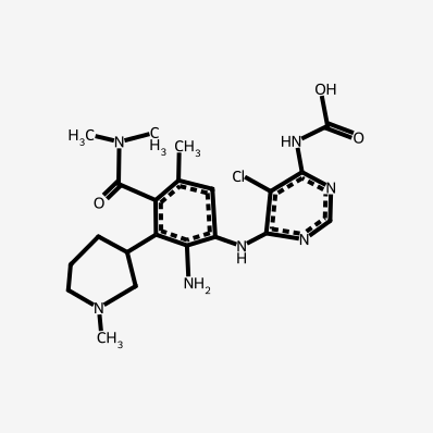 Cc1cc(Nc2ncnc(NC(=O)O)c2Cl)c(N)c(C2CCCN(C)C2)c1C(=O)N(C)C